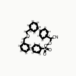 N#CC(OOS(=O)(=O)c1ccccc1)c1ccccc1.c1ccc(COCc2ccccc2)cc1